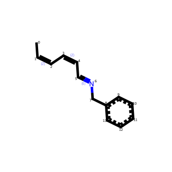 C\C=C/C=C\C=N\Cc1ccccc1